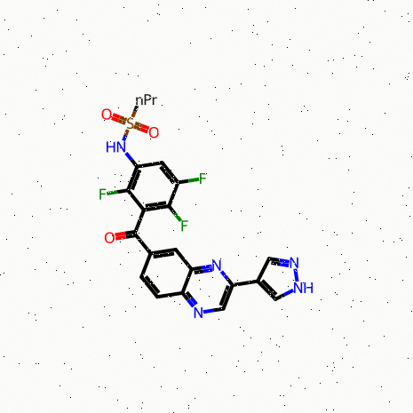 CCCS(=O)(=O)Nc1cc(F)c(F)c(C(=O)c2ccc3ncc(-c4cn[nH]c4)nc3c2)c1F